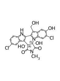 CN1C(=O)[C@@]2(O)c3c([nH]c4ccc(Cl)cc34)-c3c(CO)c4cc(O)c(Cl)cc4n3[C@@]2(O)C1=O